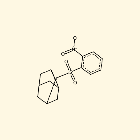 O=[N+]([O-])c1ccccc1S(=O)(=O)N1C2CC3CC(C2)CC1C3